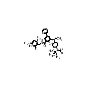 CCN(c1cc(-c2cnccn2)cc(C(=O)NCc2c(C)cc(C)[nH]c2=O)c1C)C1CCC(N(C(=O)O)C(C)(C)C)CC1